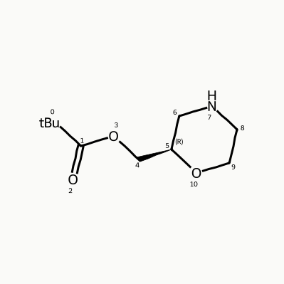 CC(C)(C)C(=O)OC[C@H]1CNCCO1